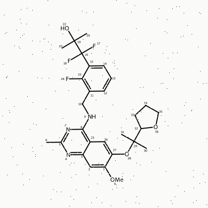 COc1cc2nc(C)nc(NCc3cccc(C(F)(F)C(C)(C)O)c3F)c2cc1OC(C)(C)C1CCCO1